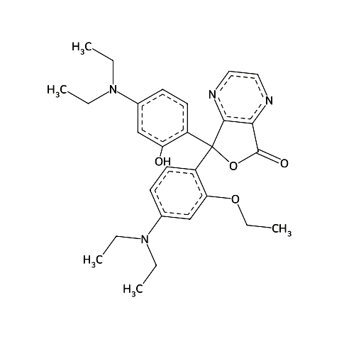 CCOc1cc(N(CC)CC)ccc1C1(c2ccc(N(CC)CC)cc2O)OC(=O)c2nccnc21